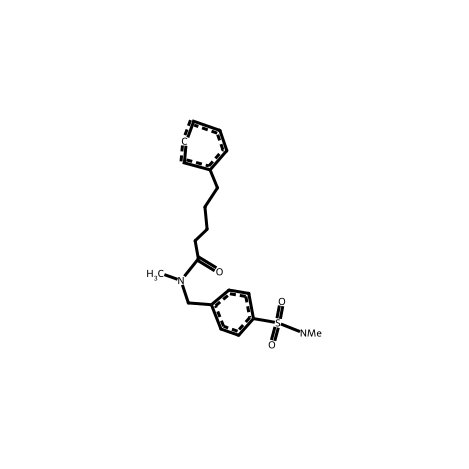 CNS(=O)(=O)c1ccc(CN(C)C(=O)CCCCc2ccccc2)cc1